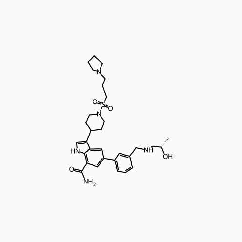 C[C@H](O)CNCc1cccc(-c2cc(C(N)=O)c3[nH]cc(C4CCN(S(=O)(=O)CCCN5CCCC5)CC4)c3c2)c1